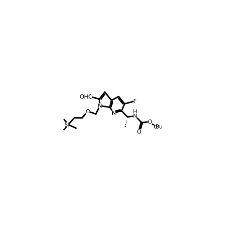 C[C@@H](NC(=O)OC(C)(C)C)c1nc2c(cc1F)cc(C=O)n2COCC[Si](C)(C)C